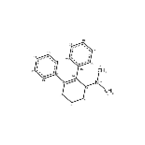 CN(C)C1CCCC(c2[c]cccc2)=C1c1ccccc1